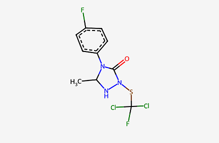 CC1NN(SC(F)(Cl)Cl)C(=O)N1c1ccc(F)cc1